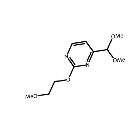 COCCOc1nccc(C(OC)OC)n1